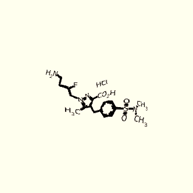 Cc1c(Cc2ccc(S(=O)(=O)N(C)C)cc2)c(C(=O)O)nn1CC(F)=CCN.Cl